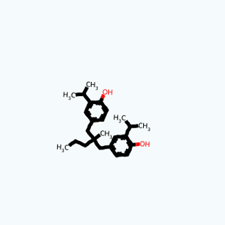 CCCC(C)(Cc1ccc(O)c(C(C)C)c1)Cc1ccc(O)c(C(C)C)c1